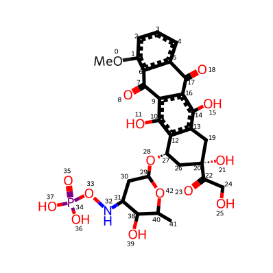 COc1cccc2c1C(=O)c1c(O)c3c(c(O)c1C2=O)C[C@@](O)(C(=O)CO)C[C@@H]3OC1CC(NOP(=O)(O)O)C(O)C(C)O1